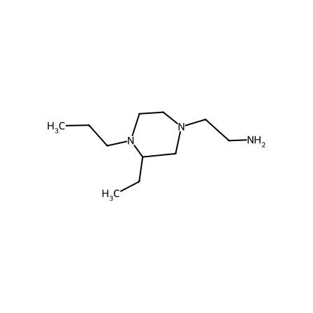 CCCN1CCN(CCN)CC1CC